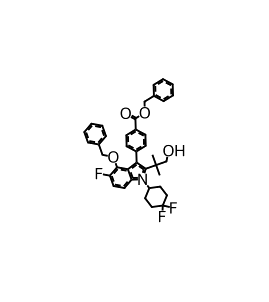 CC(C)(CO)c1c(-c2ccc(C(=O)OCc3ccccc3)cc2)c2c(OCc3ccccc3)c(F)ccc2n1C1CCC(F)(F)CC1